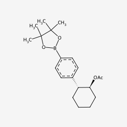 CC(=O)O[C@H]1CCCC[C@@H]1c1ccc(B2OC(C)(C)C(C)(C)O2)cc1